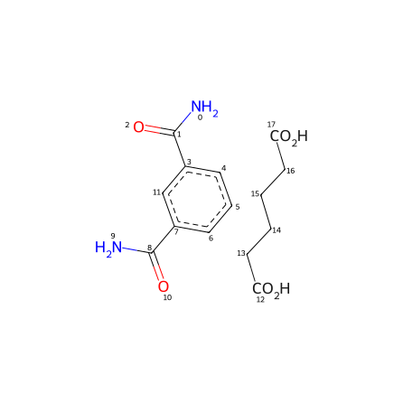 NC(=O)c1cccc(C(N)=O)c1.O=C(O)CCCCC(=O)O